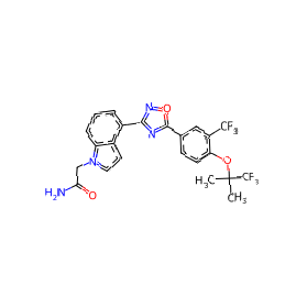 CC(C)(Oc1ccc(-c2nc(-c3cccc4c3ccn4CC(N)=O)no2)cc1C(F)(F)F)C(F)(F)F